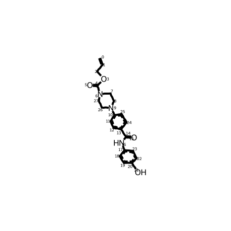 C=CCOC(=O)N1CCN(c2ccc(C(=O)Nc3ccc(O)cc3)cc2)CC1